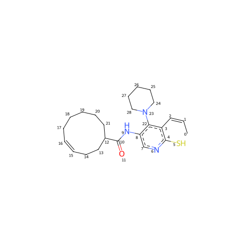 C/C=C\c1c(S)ncc(NC(=O)C2CC/C=C\CCCCC2)c1N1CCCCC1